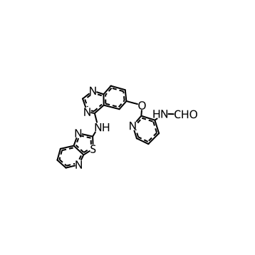 O=CNc1cccnc1Oc1ccc2ncnc(Nc3nc4cccnc4s3)c2c1